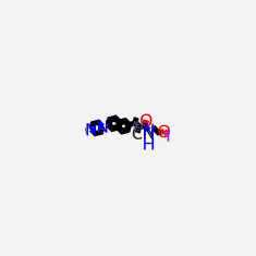 C/C(=C(/C#N)C(=O)NCCOI)c1ccc2cc(N3CCN(C)CC3)ccc2c1